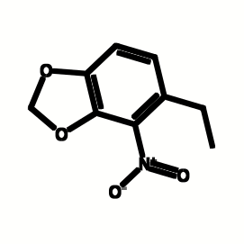 CCc1ccc2c(c1[N+](=O)[O-])OCO2